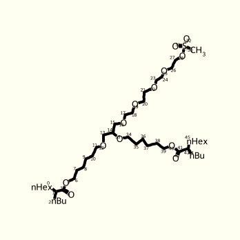 CCCCCCC(CCCC)C(=O)OCCCCCCOCC(COCCOCCOCCOCCOS(C)(=O)=O)OCCCCCCOC(=O)C(CCCC)CCCCCC